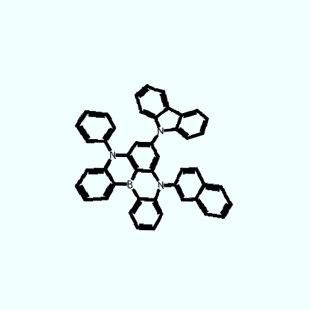 c1ccc(N2c3ccccc3B3c4ccccc4N(c4ccc5ccccc5c4)c4cc(-n5c6ccccc6c6ccccc65)cc2c43)cc1